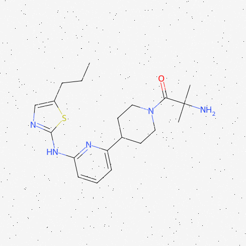 CCCc1cnc(Nc2cccc(C3CCN(C(=O)C(C)(C)N)CC3)n2)s1